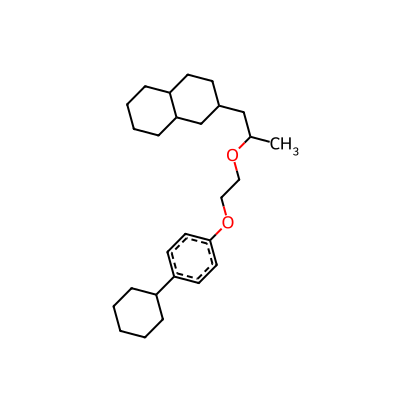 CC(CC1CCC2CCCCC2C1)OCCOc1ccc(C2CCCCC2)cc1